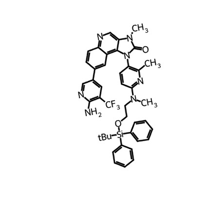 Cc1nc(N(C)CCO[Si](c2ccccc2)(c2ccccc2)C(C)(C)C)ccc1-n1c(=O)n(C)c2cnc3ccc(-c4cnc(N)c(C(F)(F)F)c4)cc3c21